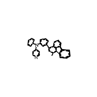 Cc1cc(-c2cccc(N(c3ccccc3)c3ccncc3)c2)c2cccc3c2c1-c1ccccc1-3